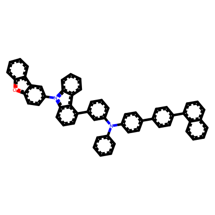 c1ccc(N(c2ccc(-c3ccc(-c4cccc5ccccc45)cc3)cc2)c2cccc(-c3cccc4c3c3ccccc3n4-c3ccc4oc5ccccc5c4c3)c2)cc1